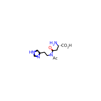 CC(=O)N(CCc1c[nH]cn1)C(=O)C[C@H](N)C(=O)O